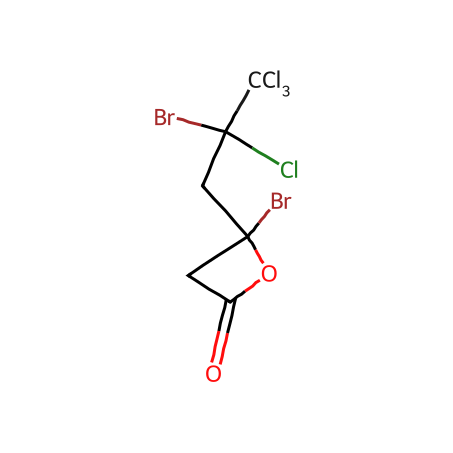 O=C1CC(Br)(CC(Cl)(Br)C(Cl)(Cl)Cl)O1